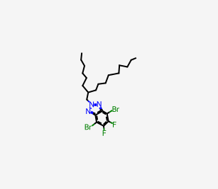 CCCCCCCCCC(CCCCCC)Cn1nc2c(Br)c(F)c(F)c(Br)c2n1